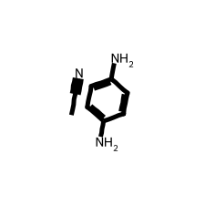 CC#N.Nc1ccc(N)cc1